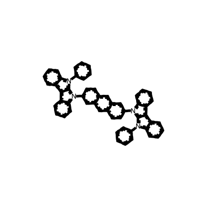 c1ccc(-n2c3ccccc3c3c4ccccc4n(-c4ccc5cc6cc(-n7c8ccccc8c8c9ccccc9n(-c9ccccc9)c87)ccc6cc5c4)c32)cc1